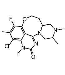 Cc1c(F)c2c3c(nc(=O)n(I)c3c1Cl)N1CC(C)N(C)CC1CCO2